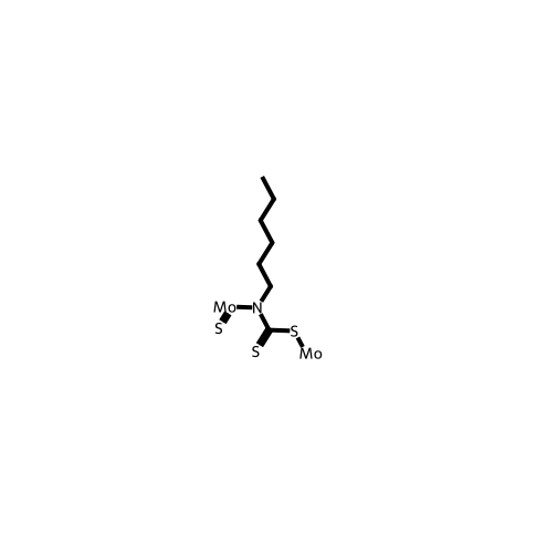 CCCCCC[N]([Mo]=[S])C(=S)[S][Mo]